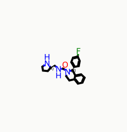 O=C(NC[C@H]1CCCN1)N1CCc2ccccc2[C@H]1c1ccc(F)cc1